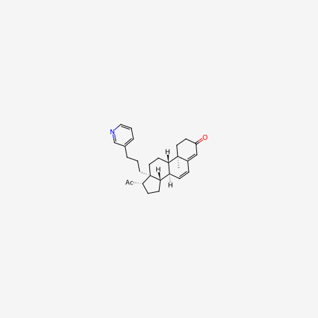 CC(=O)[C@H]1CC[C@H]2[C@@H]3C=CC4=CC(=O)CC[C@]4(C)[C@H]3CC[C@]12CCCc1cccnc1